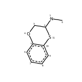 C[N]C1COc2ccccc2S1